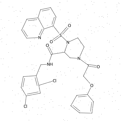 O=C(NCc1ccc(Cl)cc1Cl)C1CN(C(=O)COc2ccccc2)CCN1S(=O)(=O)c1cccc2cccnc12